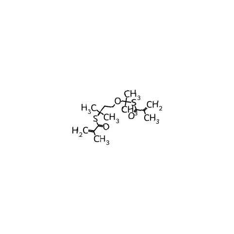 C=C(C)C(=O)SC(C)(C)CCOC(C)(C)SC(=O)C(=C)C